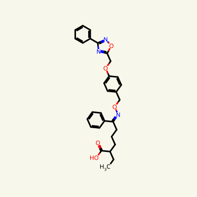 CCC(CCCC(=NOCc1ccc(OCc2nc(-c3ccccc3)no2)cc1)c1ccccc1)C(=O)O